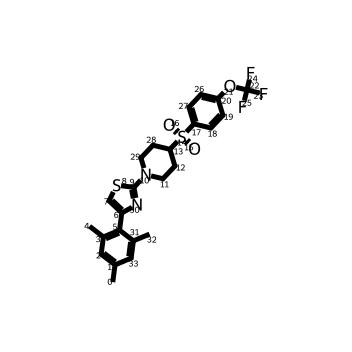 Cc1cc(C)c(-c2csc(N3CCC(S(=O)(=O)c4ccc(OC(F)(F)F)cc4)CC3)n2)c(C)c1